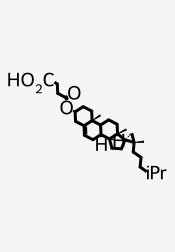 CC(C)CCC[C@@]1(C)C[C@@]12CC[C@H]1[C@@H]3CC=C4C[C@@H](OC(=O)CCC(=O)O)CC[C@]4(C)C3CC[C@@]12C